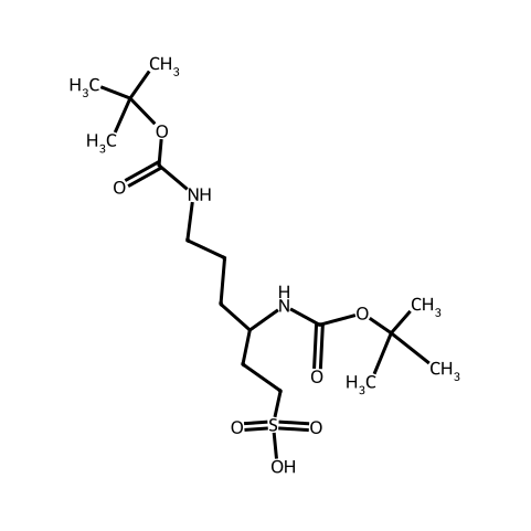 CC(C)(C)OC(=O)NCCCC(CCS(=O)(=O)O)NC(=O)OC(C)(C)C